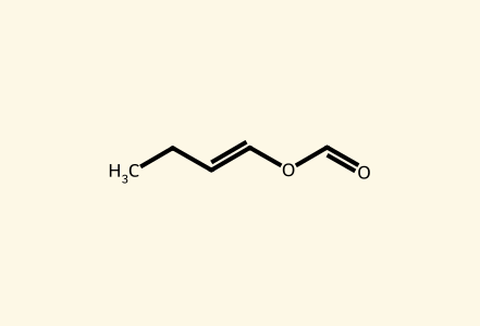 CCC=COC=O